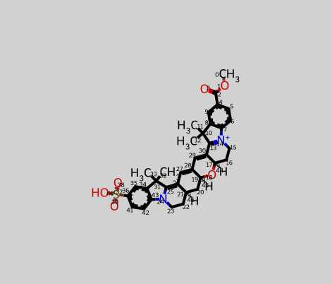 COC(=O)c1ccc2c(c1)C(C)(C)C1=[N+]2CC[C@H]2O[C@H]3C[C@H]4CCN5C(=C4C=C3C=C12)C(C)(C)c1cc(S(=O)(=O)O)ccc15